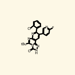 CC(C)(C)c1nc2nc(-c3ccccc3Cl)c(-c3ccc(F)nc3)cc2c2n[nH]c(=O)n12